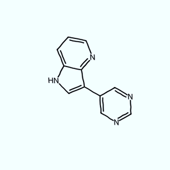 c1cnc2c(-c3cncnc3)c[nH]c2c1